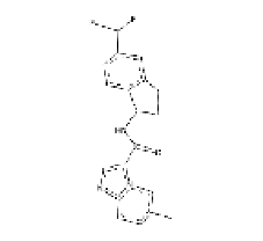 Cc1ccc2ncc(C(=O)NC3CCc4cc(C(F)F)ccc43)n2c1